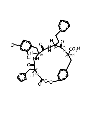 O=C1COc2ccc(cc2)C[C@@H](C(=O)O)NC(=O)[C@@H](CCc2ccccc2)NC(=O)[C@H](Cc2ccc(Cl)cc2Cl)NC(=O)[C@@H](Cc2cccs2)N1